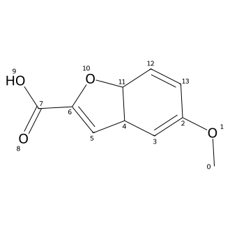 COC1=CC2C=C(C(=O)O)OC2C=C1